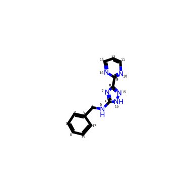 c1ccc(CNc2nc(-c3ncccn3)n[nH]2)cc1